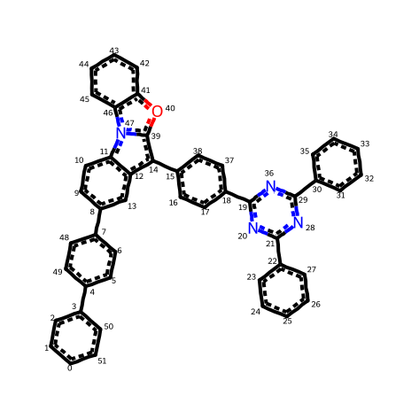 c1ccc(-c2ccc(-c3ccc4c(c3)c(-c3ccc(-c5nc(-c6ccccc6)nc(-c6ccccc6)n5)cc3)c3oc5ccccc5n34)cc2)cc1